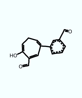 O=CC1=CC(c2cccc(C=O)c2)=CCC=C1O